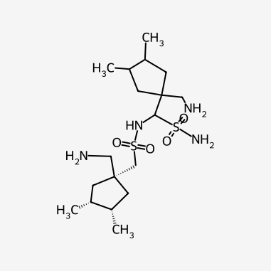 CC1CC(CN)(C(NS(=O)(=O)C[C@@]2(CN)C[C@@H](C)[C@@H](C)C2)S(N)(=O)=O)CC1C